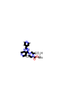 COc1cncc2nc(-c3ccncc3)nc(N3CCN(C(=O)OC(C)(C)C)C(C(=O)O)C3)c12